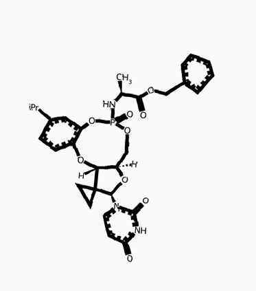 CC(C)c1ccc2c(c1)OP(=O)(N[C@@H](C)C(=O)OCc1ccccc1)OC[C@H]1O[C@@H](n3ccc(=O)[nH]c3=O)C3(CC3)[C@@H]1O2